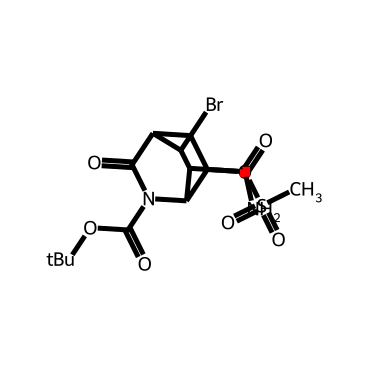 CC(C)(C)OC(=O)N1C(=O)C2CC(C(N)=O)C1C(OS(C)(=O)=O)C2Br